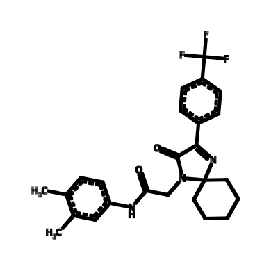 Cc1ccc(NC(=O)CN2C(=O)C(c3ccc(C(F)(F)F)cc3)=NC23CCCCC3)cc1C